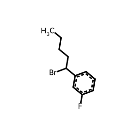 CCCCC(Br)c1cccc(F)c1